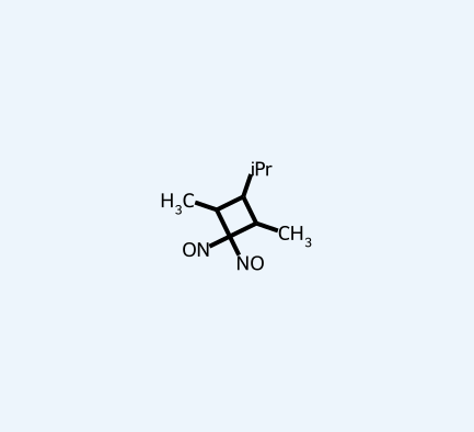 CC(C)C1C(C)C(N=O)(N=O)C1C